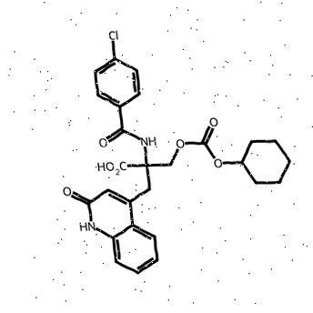 O=C(OCC(Cc1cc(=O)[nH]c2ccccc12)(NC(=O)c1ccc(Cl)cc1)C(=O)O)OC1CCCCC1